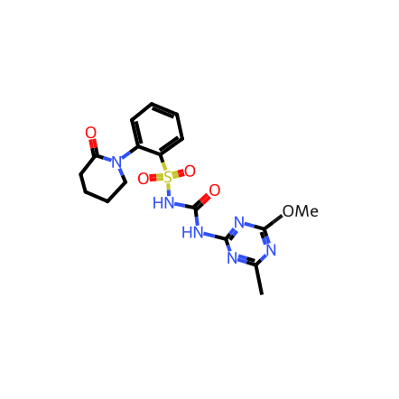 COc1nc(C)nc(NC(=O)NS(=O)(=O)c2ccccc2N2CCCCC2=O)n1